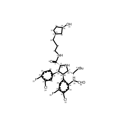 CC(C)(C)C[C@H]1N[C@@H](C(=O)NCCC[C@H]2CC[C@@H](O)C2)[C@H](c2ccc(F)c(Cl)c2)[C@@H]1c1cc(F)c(Cl)cc1NC=O